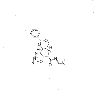 CN(C)C=NC(=O)[C@@H]1O[C@@H]2COC(c3ccccc3)O[C@@H]2[C@H](N=[N+]=[N-])[C@H]1O